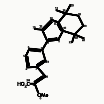 COC(=Cc1cccc(-c2cc3c(cc2C)C(C)(C)CCC3(C)C)c1)C(=O)O